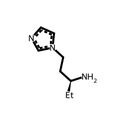 CC[C@H](N)CCn1ccnc1